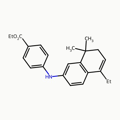 CCOC(=O)c1ccc(Nc2ccc3c(c2)C(C)(C)CC=C3CC)cc1